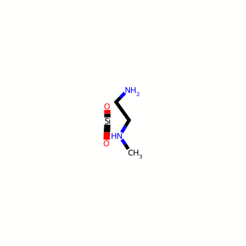 CNCCN.O=[Si]=O